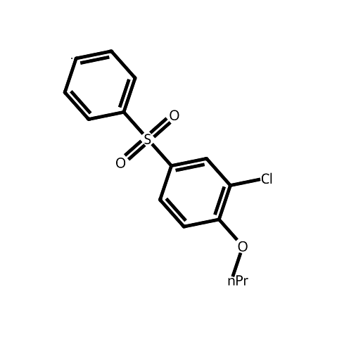 CCCOc1ccc(S(=O)(=O)c2cc[c]cc2)cc1Cl